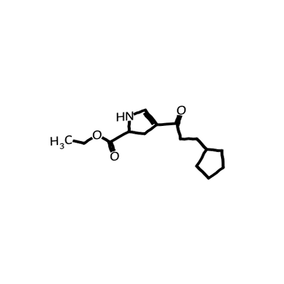 CCOC(=O)C1CC(C(=O)CCC2CCCC2)=CN1